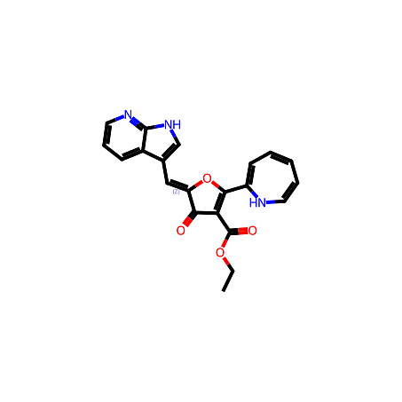 CCOC(=O)C1=C(C2=CC=CC=CN2)O/C(=C\c2c[nH]c3ncccc23)C1=O